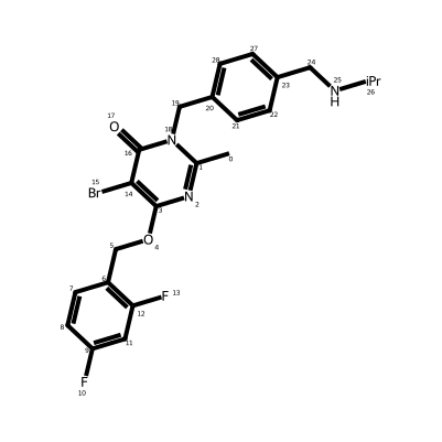 Cc1nc(OCc2ccc(F)cc2F)c(Br)c(=O)n1Cc1ccc(CNC(C)C)cc1